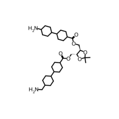 CC1(C)O[C@H](COC(=O)C2CCC(C3CCC(N)CC3)CC2)[C@@H](COC(=O)C2CCC(C3CCC(CN)CC3)CC2)O1